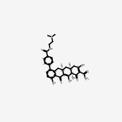 CN(C)CCNC(=O)c1ccc(-c2ccc(O)c3c2C[C@H]2C[C@H]4CC(O)=C(C(N)=O)C(=O)[C@@]4(O)C(O)=C2C3=O)cc1